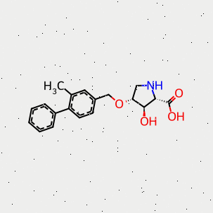 Cc1cc(CO[C@@H]2CN[C@H](C(=O)O)[C@H]2O)ccc1-c1ccccc1